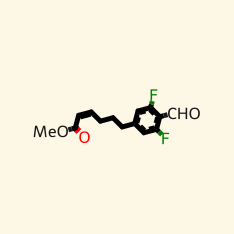 COC(=O)/C=C\CCCc1cc(F)c(C=O)c(F)c1